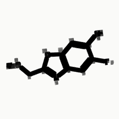 COCc1nc2cc(F)c(S)cc2o1